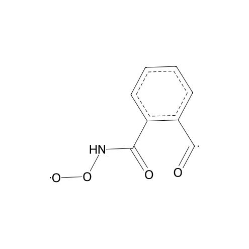 [O]ONC(=O)c1ccccc1[C]=O